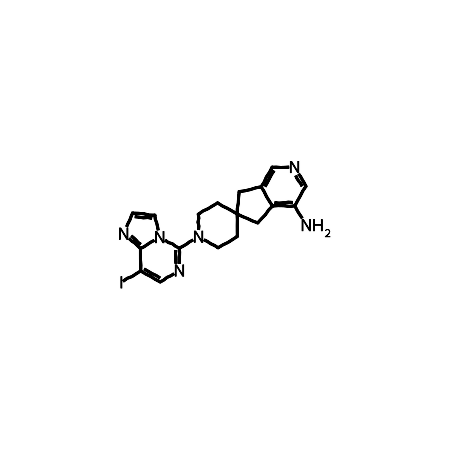 Nc1cncc2c1CC1(CCN(c3ncc(I)c4nccn34)CC1)C2